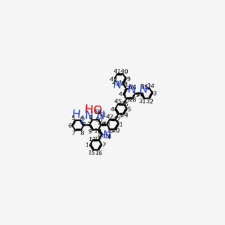 NC1C(c2ccccc2)=Cc2c(-c3ccccc3)nc3ccc(-c4ccc(-c5cc(-c6ccccn6)nc(-c6ccccn6)c5)cc4)cc3c2/C1=N/O